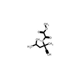 C#CC(C)(CC(C)C)OC(=O)C(=O)OC